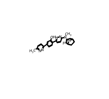 Cc1ccc(-c2ccc(-c3ccc(N(C)[C@@H]4CC5CCC(N5)[C@@H]4F)nn3)c(O)c2)nn1